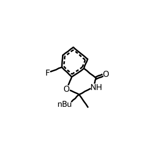 CCCCC1(C)NC(=O)c2cccc(F)c2O1